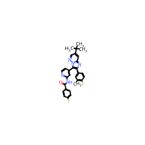 Cc1cc(-c2nc3cc(C(C)(C)C)cnn3c2-c2ccnc(NC(=O)c3ccc(F)cc3)c2)ccc1F